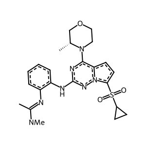 CN/C(C)=N/c1ccccc1Nc1nc(N2CCOC[C@H]2C)c2ccc(S(=O)(=O)C3CC3)n2n1